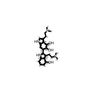 CN(C)CCc1c[nH]c2cc(-c3[nH]c4cccc(O)c4c3CCN(C)C)c(O)c(O)c12